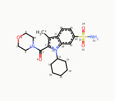 Cc1c(C(=O)N2CCOCC2)n(C2CCCCC2)c2cc(S(N)(=O)=O)ccc12